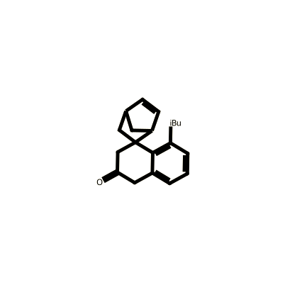 CCC(C)c1cccc2c1C1(CC(=O)C2)CC2C=CC1C2